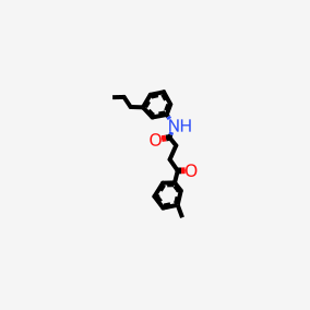 CCCc1cccc(NC(=O)CCC(=O)c2cccc(C)c2)c1